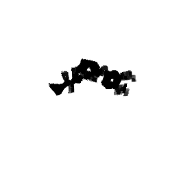 Nc1ccc(Oc2ccc3nc(NC(=O)C4CC4)cn3n2)cc1[N+](=O)[O-]